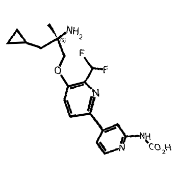 C[C@@](N)(COc1ccc(-c2ccnc(NC(=O)O)c2)nc1C(F)F)CC1CC1